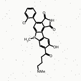 CNCCCC(=O)c1cc2c(cc1O)c1c3c(c(-c4ccccc4Cl)cc1n2C)C(=O)NC3=O